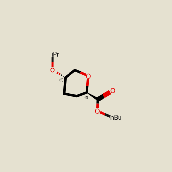 CCCCOC(=O)[C@H]1CC[C@H](OC(C)C)CO1